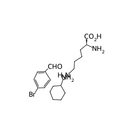 NC1CCCCC1.NCCCC[C@H](N)C(=O)O.O=Cc1ccc(Br)cc1